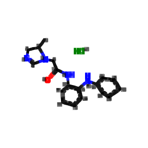 CC1CN=CN1CC(=O)Nc1ccccc1Nc1ccccc1.Cl